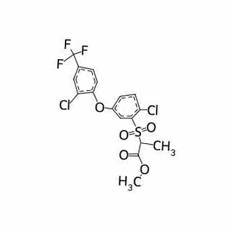 COC(=O)C(C)S(=O)(=O)c1cc(Oc2ccc(C(F)(F)F)cc2Cl)ccc1Cl